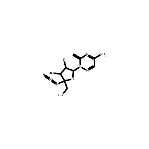 C=C1N=C(N)C=NN1C1OC(CO)(N=[N+]=[N-])C(O)C1F